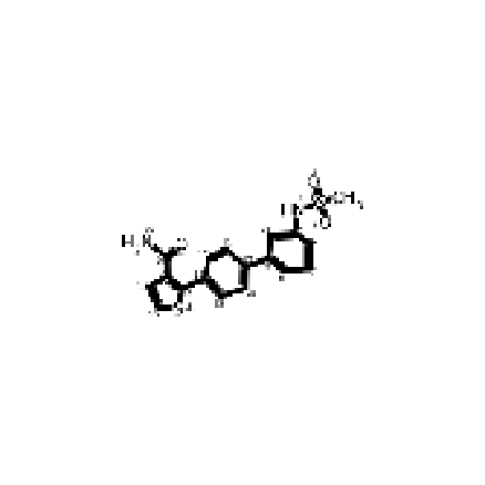 CS(=O)(=O)Nc1cccc(-c2ccc(-c3sccc3C(N)=O)cc2)c1